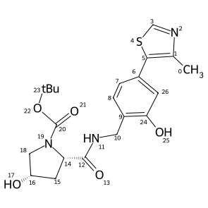 Cc1ncsc1-c1ccc(CNC(=O)[C@@H]2C[C@H](O)CN2C(=O)OC(C)(C)C)c(O)c1